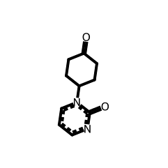 O=C1CCC(n2cccnc2=O)CC1